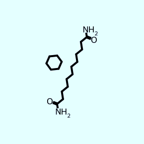 C1CCCCC1.NC(=O)CCCCCCCCCCC(N)=O